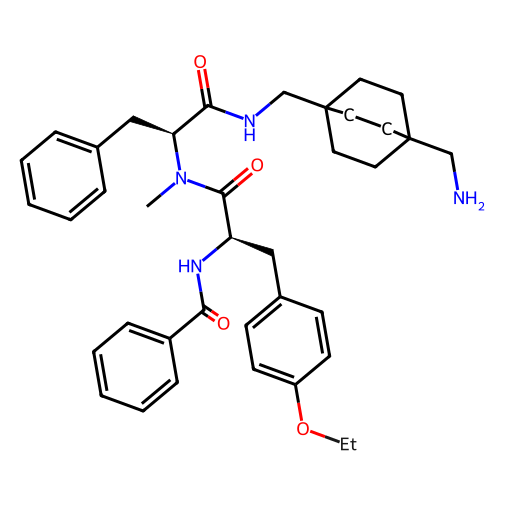 CCOc1ccc(C[C@@H](NC(=O)c2ccccc2)C(=O)N(C)[C@@H](Cc2ccccc2)C(=O)NCC23CCC(CN)(CC2)CC3)cc1